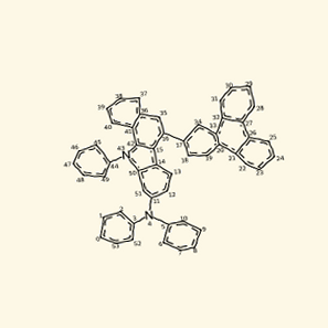 c1ccc(N(c2ccccc2)c2ccc3c4c(-c5ccc6c7ccccc7c7ccccc7c6c5)cc5ccccc5c4n(-c4ccccc4)c3c2)cc1